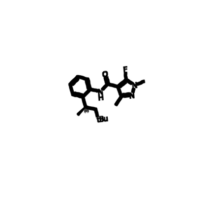 Cc1nn(C)c(F)c1C(=O)Nc1ccccc1[C@H](C)CC(C)(C)C